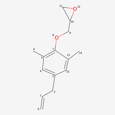 C=CCc1cc(C)c(OCC2CO2)c(C)c1